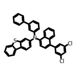 Clc1cc(Cl)cc(-c2ccc(N(c3cccc(-c4ccccc4)c3)c3ccc4c(c3)sc3ccccc34)c3ccccc23)c1